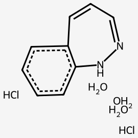 C1=Cc2ccccc2NN=C1.Cl.Cl.O.O.O